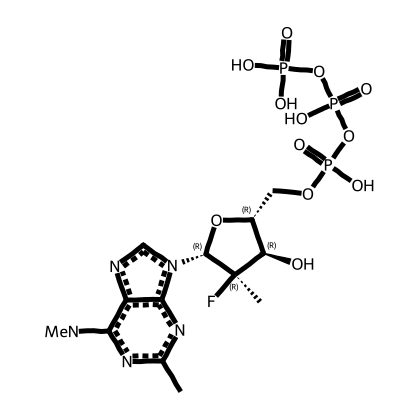 CNc1nc(C)nc2c1ncn2[C@@H]1O[C@H](COP(=O)(O)OP(=O)(O)OP(=O)(O)O)[C@@H](O)[C@@]1(C)F